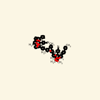 Cc1ccc(-c2ccc3c4ccc(-c5ccc(C)cc5)cc4n(-c4cc(C#N)cc(-n5c6cc(-c7ccc(C)cc7)ccc6c6ccc(-c7ccc(C)cc7-c7cc(-c8ccc9c%10ccccc%10n(-c%10cc(C#N)cc(-n%11c%12ccccc%12c%12ccc(-c%13ccc(C)cc%13C)cc%12%11)c%10-c%10cc(-c%11ccccc%11)nc(-c%11ccccc%11)c%10)c9c8)c(C)cc7C)cc65)c4-c4cc(C)nc(C)c4)c3c2)cc1